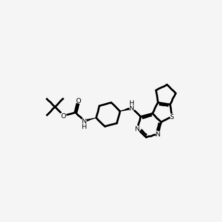 CC(C)(C)OC(=O)N[C@H]1CC[C@@H](Nc2ncnc3sc4c(c23)CCC4)CC1